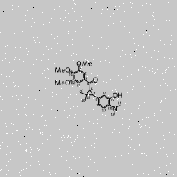 COc1cc(C(=O)C2C(c3ccc(N(C)C)c(O)c3)C2(C)C)cc(OC)c1OC